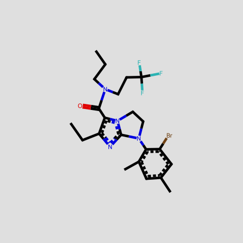 CCCN(CCC(F)(F)F)C(=O)c1c(CC)nc2n1CCN2c1c(C)cc(C)cc1Br